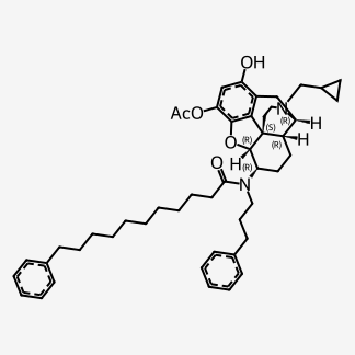 CC(=O)Oc1cc(O)c2c3c1O[C@H]1[C@H](N(CCCc4ccccc4)C(=O)CCCCCCCCCCc4ccccc4)CC[C@H]4[C@@H](C2)N(CC2CC2)CC[C@@]341